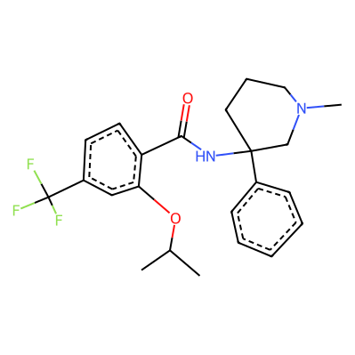 CC(C)Oc1cc(C(F)(F)F)ccc1C(=O)NC1(c2ccccc2)CCCN(C)C1